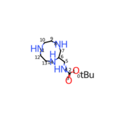 CC(C)(C)OC(=O)NCC1CNCCNCCN1